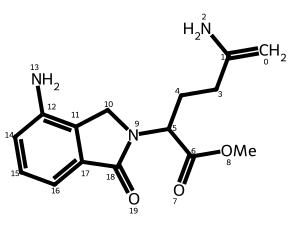 C=C(N)CCC(C(=O)OC)N1Cc2c(N)cccc2C1=O